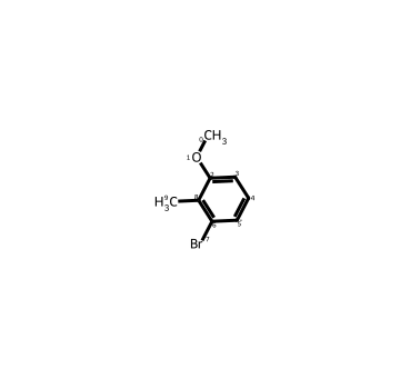 COc1cc[c]c(Br)c1C